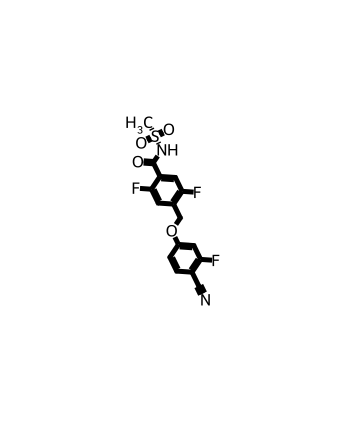 CS(=O)(=O)NC(=O)c1cc(F)c(COc2ccc(C#N)c(F)c2)cc1F